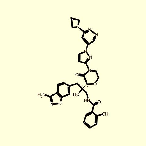 Nc1noc2cc(CC(O)(CNC(=O)c3ccccc3O)[C@H]3OCCN(c4ccn(-c5cnnc(N6CCC6)c5)n4)C3=O)ccc12